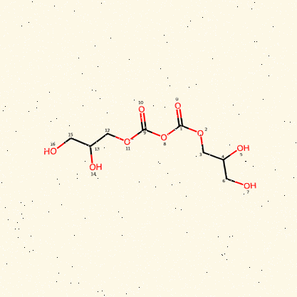 O=C(OCC(O)CO)OC(=O)OCC(O)CO